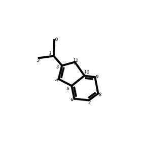 CC(C)C1=Cc2ccccc2[CH]1